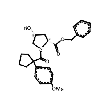 COc1ccc(C2(C(=O)N3C[C@H](O)C[C@@H]3C(=O)OCc3ccccc3)CCCC2)cc1